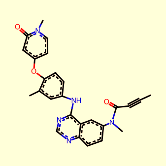 CC#CC(=O)N(C)c1ccc2ncnc(Nc3ccc(Oc4ccn(C)c(=O)c4)c(C)c3)c2c1